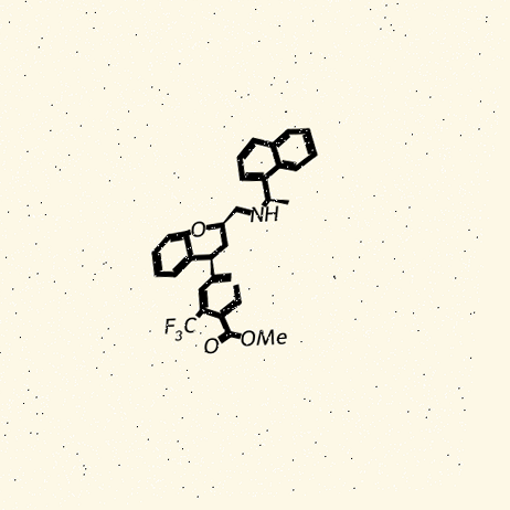 C=C(/C=C(\C(=C/C)C(=O)OC)C(F)(F)F)[C@@H]1C[C@H](CN[C@H](C)c2cccc3ccccc23)Oc2ccccc21